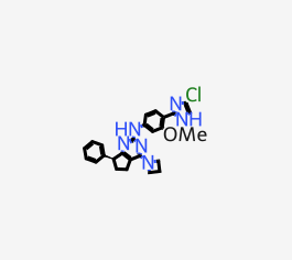 COc1cc(Nc2nc3c(c(N4CCC4)n2)CC[C@H]3c2ccccc2)ccc1-c1nc(Cl)c[nH]1